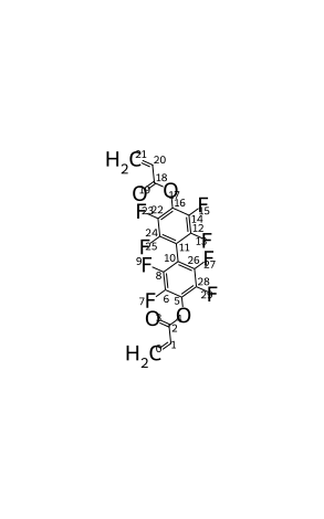 C=CC(=O)Oc1c(F)c(F)c(-c2c(F)c(F)c(OC(=O)C=C)c(F)c2F)c(F)c1F